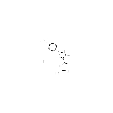 Cc1nn(-c2ccc(S(N)(=O)=O)cc2)nc1C(=O)NC(=N)N.Cl